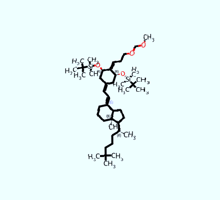 COCOCCC=C1[C@H](O[Si](C)(C)C(C)(C)C)CC(=C/C=C2\CCC[C@@]3(C)C2CCC3[C@H](C)CCCC(C)(C)C)C[C@H]1O[Si](C)(C)C(C)(C)C